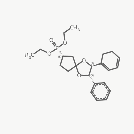 CCOP(=O)(OCC)[C@H]1CCC2(C1)O[C@@H](C1=CC=CCC1)[C@H](c1ccccc1)O2